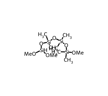 CO[SiH](OC)O[Si](C)(C)O[Si](C)(C)O[Si](C)(C)OC